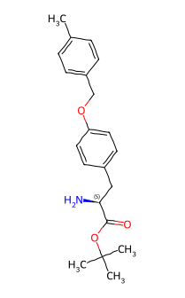 Cc1ccc(COc2ccc(C[C@H](N)C(=O)OC(C)(C)C)cc2)cc1